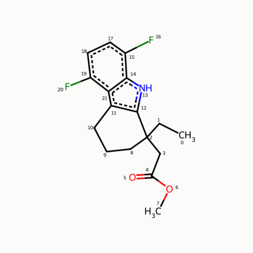 CCC1(CC(=O)OC)CCCc2c1[nH]c1c(F)ccc(F)c21